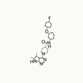 Cc1[nH]c2ncnc(N3CCC(C(=O)Nc4cccc(Oc5ccc(F)cc5)c4)CC3)c2c1C